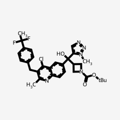 Cc1nc2ccc(C(O)(c3cnnn3C)C3CN(C(=O)OC(C)(C)C)C3)cc2c(Cl)c1Cc1ccc(C(C)(F)F)cc1